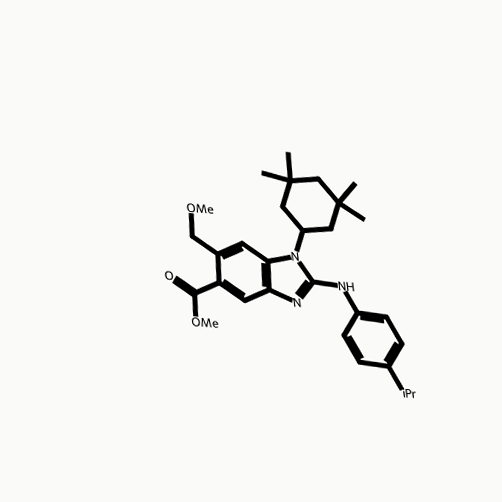 COCc1cc2c(cc1C(=O)OC)nc(Nc1ccc(C(C)C)cc1)n2C1CC(C)(C)CC(C)(C)C1